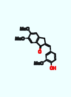 COc1cc(C=C2Cc3cc(OC)c(OC)cc3C2=O)ccc1O